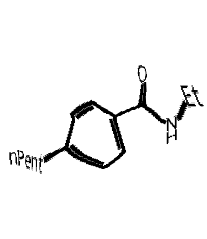 CCCCCc1ccc(C(=O)NCC)cc1